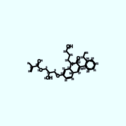 C=C(C)C(=O)OCC(O)COC1=CC2C(C=C1)C=C(c1ccccc1CC)C(=O)N2CCCO